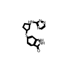 O=c1[nH][nH]c2cc(SC3CCC(Nc4nccnn4)C3)ccc12